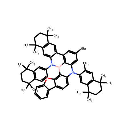 Cc1cc2c(cc1N1c3cc(C(C)(C)C)cc4c3B(c3c1ccc1c3oc3ccccc31)N(c1ccc3c(c1)C(C)(C)CCC3(C)C)c1cc3c(cc1-4)C(C)(C)CCC3(C)C)C(C)(C)CCC2(C)C